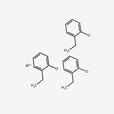 CCc1ccccc1[O-].CCc1ccccc1[O-].CCc1ccccc1[O-].[Al+3]